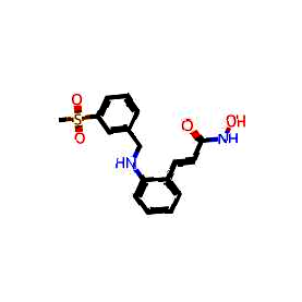 CS(=O)(=O)c1cccc(CNc2ccccc2C=CC(=O)NO)c1